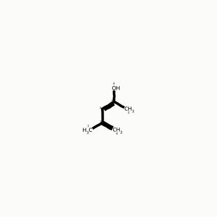 C=C(C)/C=C(\C)O